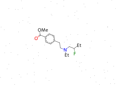 CCC(F)CN(CC)CCc1ccc(C(=O)OC)cc1